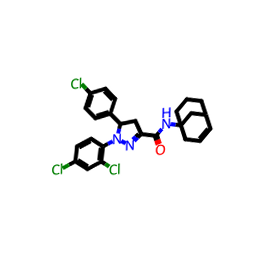 O=C(NC12CC=CC(CCC1)C2)C1=NN(c2ccc(Cl)cc2Cl)C(c2ccc(Cl)cc2)C1